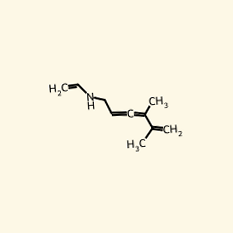 C=CNCC=C=C(C)C(=C)C